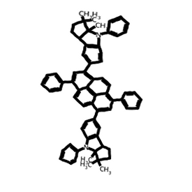 CC1(C)CCC2c3cc(-c4cc(-c5ccccc5)c5ccc6c(-c7ccc8c(c7)C7CCC(C)(C)C7(C)N8c7ccccc7)cc(-c7ccccc7)c7ccc4c5c76)ccc3N(c3ccccc3)C21C